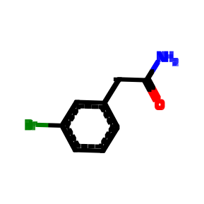 NC(=O)[CH]c1cccc(Br)c1